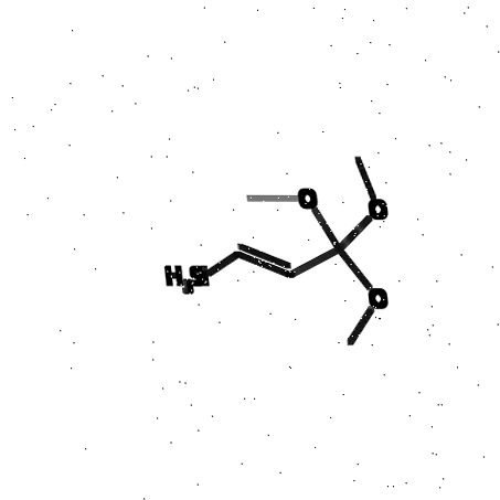 COC(C=C[SiH3])(OC)OC